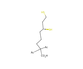 CC(=O)C(CCC[C@H](S)CCS)(C(C)=O)C(=O)O